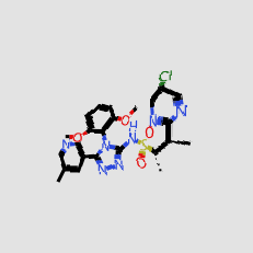 COc1cccc(OC)c1-n1c(NS(=O)(=O)[C@@H](C)[C@H](C)c2ncc(Cl)cn2)nnc1-c1cncc(C)c1